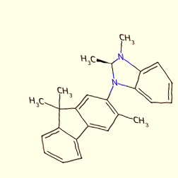 Cc1cc2c(cc1N1c3ccccc3N(C)[C@@H]1C)C(C)(C)c1ccccc1-2